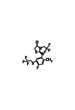 Cc1cc(F)c(SCC(F)(F)F)cc1/N=C1\SCC(=O)N1CC(F)(F)F